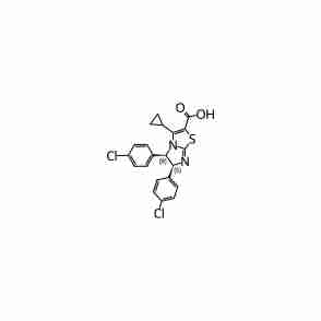 O=C(O)C1=C(C2CC2)N2C(=N[C@@H](c3ccc(Cl)cc3)[C@H]2c2ccc(Cl)cc2)S1